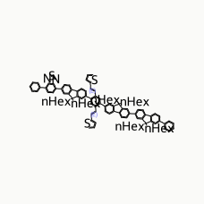 CCCCCCC1(CCCCCC)c2cc(-c3ccccc3)ccc2-c2ccc(-c3ccc4c(c3)C(CCCCCC)(CCCCCC)c3cc(-c5cc(/C=C/c6cccs6)c(-c6ccc7c(c6)C(CCCCCC)(CCCCCC)c6cc(-c8ccc(-c9ccccc9)c9nsnc89)ccc6-7)cc5/C=C/c5cccs5)ccc3-4)cc21